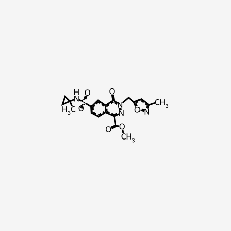 COC(=O)c1nn(Cc2cc(C)no2)c(=O)c2cc(S(=O)(=O)NC3(C)CC3)ccc12